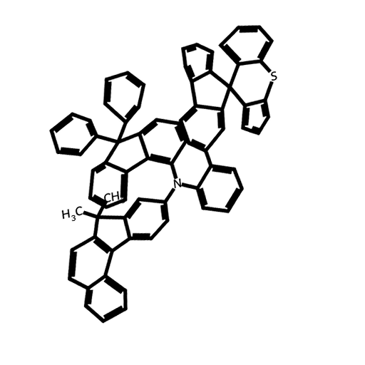 CC1(C)c2cc(N(c3ccccc3-c3ccc4c(c3)C3(c5ccccc5Sc5ccccc53)c3ccccc3-4)c3cccc4c3-c3ccccc3C4(c3ccccc3)c3ccccc3)ccc2-c2c1ccc1ccccc21